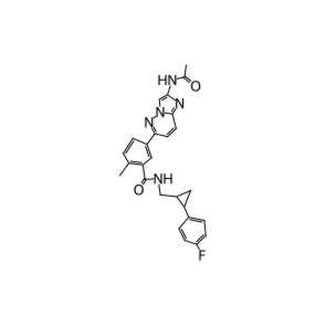 CC(=O)Nc1cn2nc(-c3ccc(C)c(C(=O)NCC4CC4c4ccc(F)cc4)c3)ccc2n1